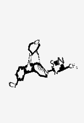 FC(F)(F)c1nsc(N2CCc3c([nH]c4ccc(Cl)cc34)[C@@H]2C[C@H]2CCCOC2)n1